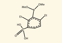 CCc1ccc(P(=O)(O)O)c(CC)c1B(OC)OC